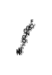 Fc1ccc2cc(-c3nc(COc4ccc(CCCCn5ccnn5)cc4)co3)oc2c1